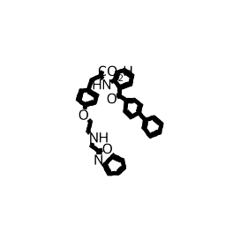 O=C(c1ccc(-c2ccccc2)cc1)c1ccccc1NC(Cc1ccc(OCCNCc2nc3ccccc3o2)cc1)C(=O)O